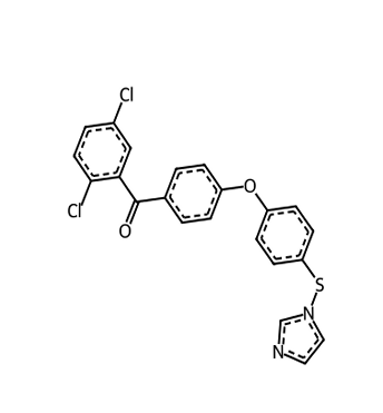 O=C(c1ccc(Oc2ccc(Sn3ccnc3)cc2)cc1)c1cc(Cl)ccc1Cl